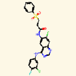 O=C(CCS(=O)(=O)c1ccccc1)Nc1cc2c(Nc3ccc(F)c(Cl)c3)ncnc2cc1Cl